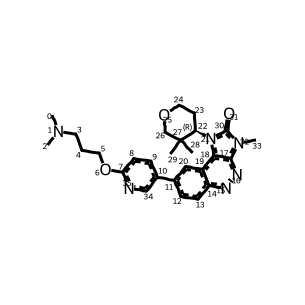 CN(C)CCCOc1ccc(-c2ccc3nnc4c(c3c2)n([C@@H]2CCOCC2(C)C)c(=O)n4C)cn1